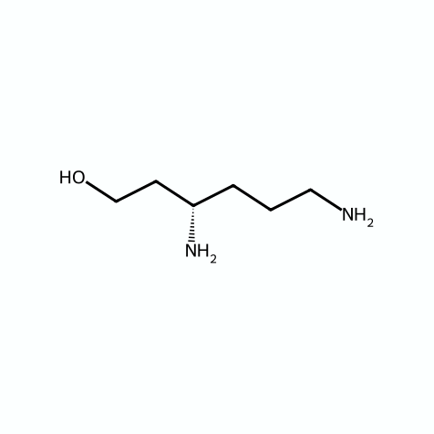 NCCC[C@H](N)CCO